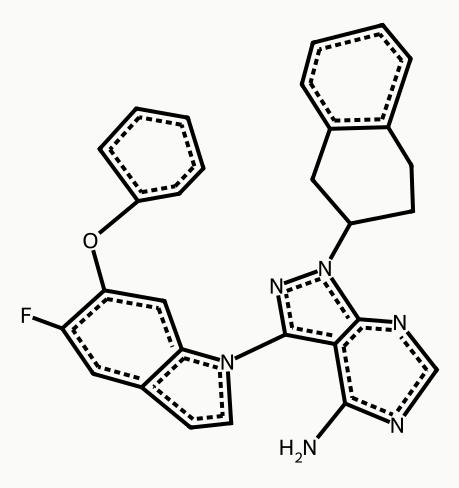 Nc1ncnc2c1c(-n1ccc3cc(F)c(Oc4ccccc4)cc31)nn2C1CCc2ccccc2C1